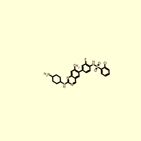 Cc1cc2nc(NC3CCC(N)CC3)ncc2cc1-c1ccc(NS(=O)(=O)c2ccccc2Cl)c(F)c1